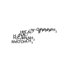 C=C(S/C(=N\C)N[C@@H](CC(=C)N1CCN(CCOP(#P)P=PP=PP=PP)CC1)N[C@H](C)N)[C@H](O)OC